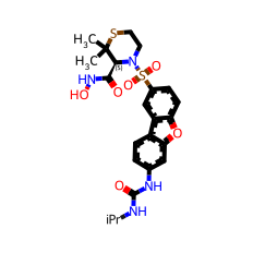 CC(C)NC(=O)Nc1ccc2c(c1)oc1ccc(S(=O)(=O)N3CCSC(C)(C)[C@@H]3C(=O)NO)cc12